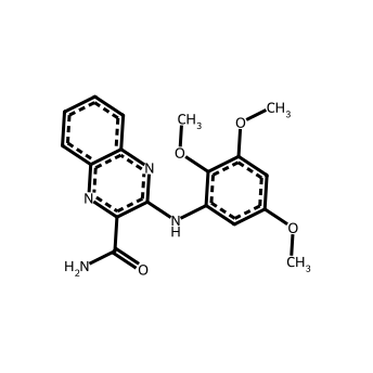 COc1cc(Nc2nc3ccccc3nc2C(N)=O)c(OC)c(OC)c1